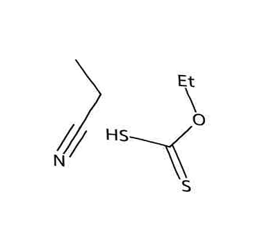 CCC#N.CCOC(=S)S